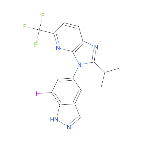 CC(C)c1nc2ccc(C(F)(F)F)nc2n1-c1cc(I)c2[nH]ncc2c1